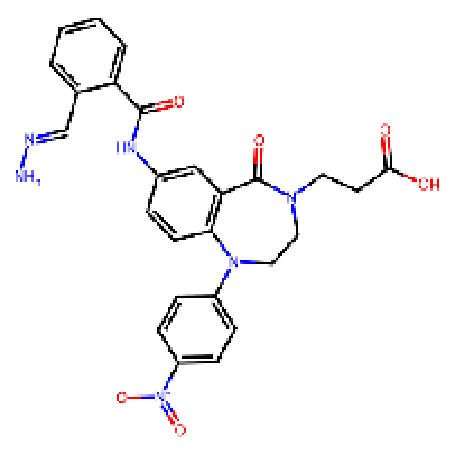 NN=Cc1ccccc1C(=O)Nc1ccc2c(c1)C(=O)N(CCC(=O)O)CCN2c1ccc([N+](=O)[O-])cc1